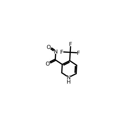 O=NC(=O)C1=C(C(F)(F)F)C=CNC1